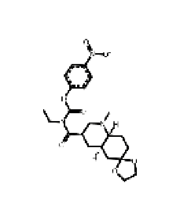 CCN(C(=O)Oc1ccc([N+](=O)[O-])cc1)C(=O)[C@@H]1C[C@@H]2CC3(CC[C@H]2N(C)C1)OCCO3